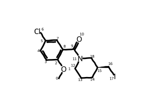 COc1ccc(Cl)cc1C(=O)N1CCC[C@H](CI)C1